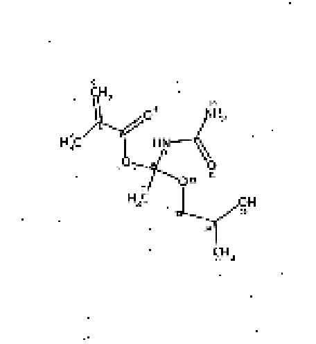 C=C(C)C(=O)OC(C)(NC(N)=O)OCC(C)O